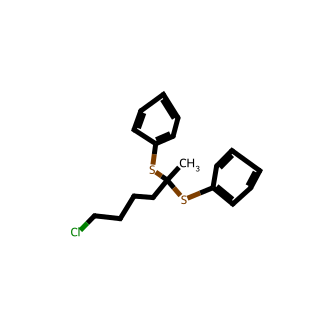 CC(CCCCCl)(Sc1ccccc1)Sc1ccccc1